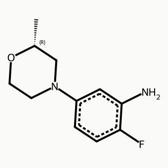 C[C@@H]1CN(c2ccc(F)c(N)c2)CCO1